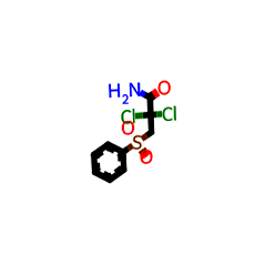 NC(=O)C(Cl)(Cl)CS(=O)(=O)c1ccccc1